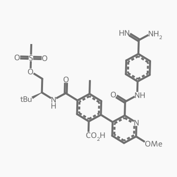 COc1ccc(-c2cc(C)c(C(=O)N[C@H](COS(C)(=O)=O)C(C)(C)C)cc2C(=O)O)c(C(=O)Nc2ccc(C(=N)N)cc2)n1